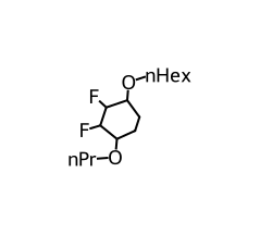 CCCCCCOC1CCC(OCCC)C(F)C1F